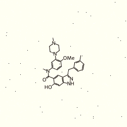 COc1ccc(N(C)C(=O)c2cc3c(Cc4cccc(C)c4)n[nH]c3cc2O)cc1N1CCN(C)CC1